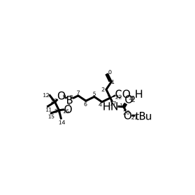 C=CC[C@@](CCCCB1OC(C)(C)C(C)(C)O1)(NC(=O)OC(C)(C)C)C(=O)O